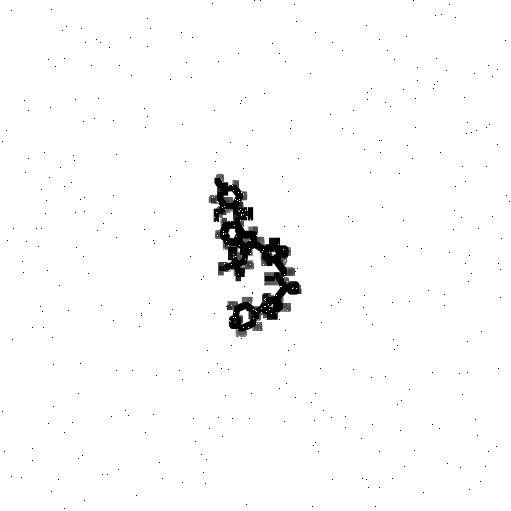 CN1CC[C@@H](Nc2cccc3c2cc(-c2noc(CNC(=O)c4cnc(N5CCOCC5)s4)n2)n3CC(F)(F)F)[C@@H](F)C1